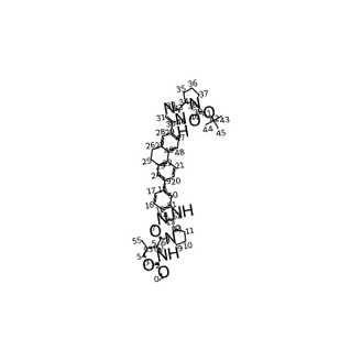 COC(=O)N[C@H](C(=O)N1CCC[C@H]1c1nc2ccc(-c3ccc4c(c3)CCc3cc(-c5cnc(C6CCCN6C(=O)OC(C)(C)C)[nH]5)ccc3-4)cc2[nH]1)C(C)C